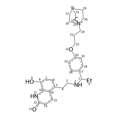 CCC(NCCc1ccc(O)c2[nH]c(=O)ccc12)c1ccc(OCCC[N+]23CCC(CC2)CC3)cc1